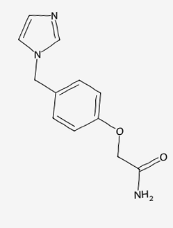 NC(=O)COc1ccc(Cn2ccnc2)cc1